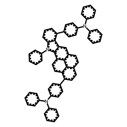 c1ccc(N(c2ccccc2)c2ccc(-c3ccc4ccc5cc6c7c(-c8ccc(N(c9ccccc9)c9ccccc9)cc8)cccc7n(-c7ccccc7)c6c6ccc3c4c56)cc2)cc1